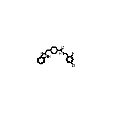 O=C(NCc1ccc(Cl)cc1F)C1CCC(Cc2nc3ccccc3[nH]2)CC1